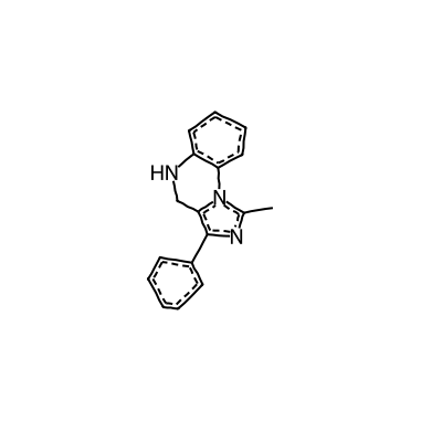 Cc1nc(-c2ccccc2)c2n1-c1ccccc1NC2